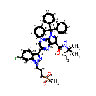 CC(C)(C)NC(=O)c1cn(C(c2ccccc2)(c2ccccc2)c2ccccc2)c2ncc(-c3nn(CCCS(C)(=O)=O)c4cc(F)ccc34)nc12